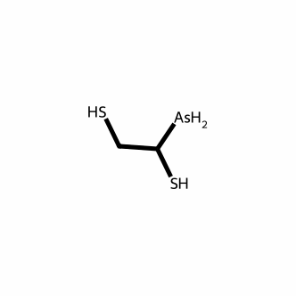 SCC(S)[AsH2]